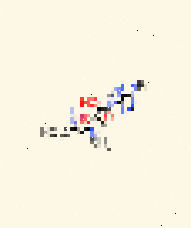 CCNc1ncnc2c1ncn2[C@@H]1O[C@H](CN(C)CC[C@H](N)C(=O)O)[C@@H](O)[C@H]1O